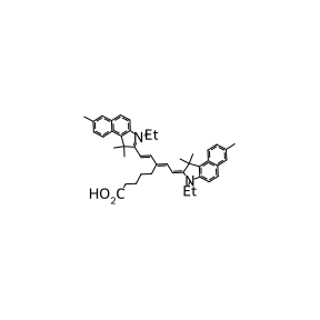 CCN1/C(=C/C=C(/C=C/C2=[N+](CC)c3ccc4cc(C)ccc4c3C2(C)C)CCCCC(=O)O)C(C)(C)c2c1ccc1cc(C)ccc21